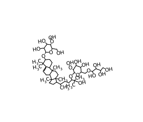 CC(CCC(OC1OC(COC(O)C(O)C(O)CO)C(O)C(O)C1OO)C(C)(C)O)C1CCC2(C)C3CC=C4C(CCC(OC5OC(CO)C(OO)C(O)C5O)C4(C)C)C3(C)CCC12C